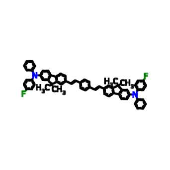 CC1(C)c2cc(/C=C/c3ccc(/C=C/c4ccc5c(c4)C(C)(C)c4cc(N(c6ccccc6)c6ccc(F)cc6)ccc4-5)cc3)ccc2-c2ccc(N(c3ccccc3)c3ccc(F)cc3)cc21